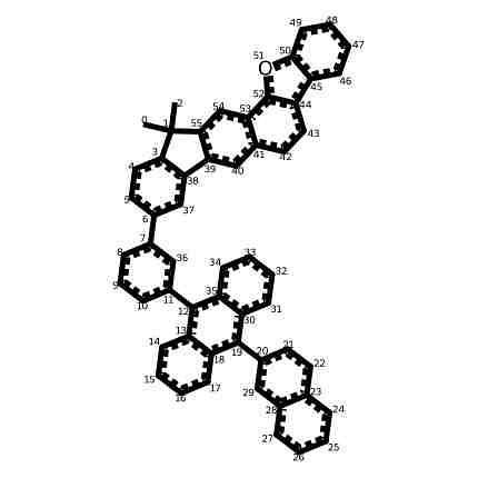 CC1(C)c2ccc(-c3cccc(-c4c5ccccc5c(-c5ccc6ccccc6c5)c5ccccc45)c3)cc2-c2cc3ccc4c5ccccc5oc4c3cc21